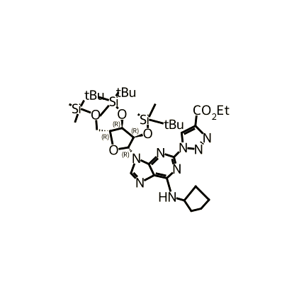 CCOC(=O)c1cn(-c2nc(NC3CCCC3)c3ncn([C@@H]4O[C@H](CO[Si](C)(C)C(C)(C)C)[C@@H](O[Si](C)(C)C(C)(C)C)[C@H]4O[Si](C)(C)C(C)(C)C)c3n2)nn1